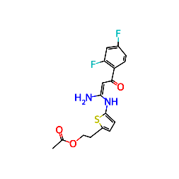 CC(=O)OCCc1ccc(N/C(N)=C\C(=O)c2ccc(F)cc2F)s1